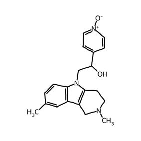 Cc1ccc2c(c1)c1c(n2CC(O)c2cc[n+]([O-])cc2)CCN(C)C1